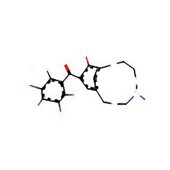 CN1CCCCc2cc(cc(C(=O)c3c(Cl)c(Cl)c(Cl)c(Cl)c3C(=O)O)c2O)CCC1